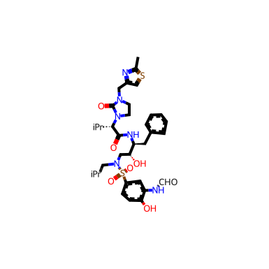 Cc1nc(CN2CCN([C@H](C(=O)N[C@@H](Cc3ccccc3)[C@H](O)CN(CC(C)C)S(=O)(=O)c3ccc(O)c(NC=O)c3)C(C)C)C2=O)cs1